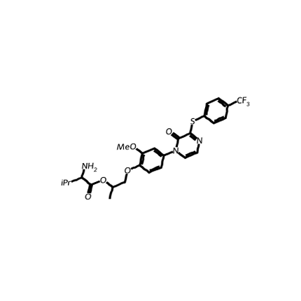 COc1cc(-n2ccnc(Sc3ccc(C(F)(F)F)cc3)c2=O)ccc1OCC(C)OC(=O)C(N)C(C)C